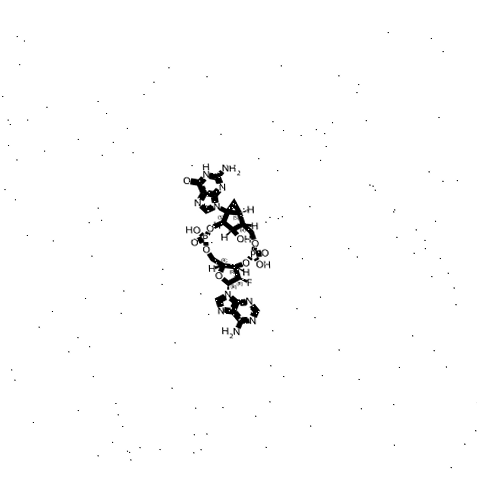 Nc1nc2c(ncn2C23C[C@H]2[C@@H]2COP(=O)(O)O[C@H]4[C@@H](F)[C@H](n5cnc6c(N)ncnc65)O[C@@H]4COP(=O)(O)O[C@@H]3[C@@H]2O)c(=O)[nH]1